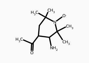 CC(=O)C1CC(C)(C)N([O])C(C)(C)C1N